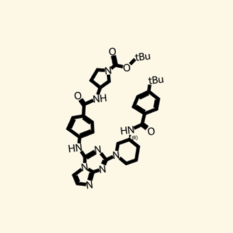 CC(C)(C)OC(=O)N1CCC(NC(=O)c2ccc(Nc3nc(N4CCC[C@@H](NC(=O)c5ccc(C(C)(C)C)cc5)C4)nc4nccn34)cc2)C1